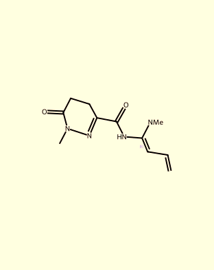 C=C/C=C(\NC)NC(=O)C1=NN(C)C(=O)CC1